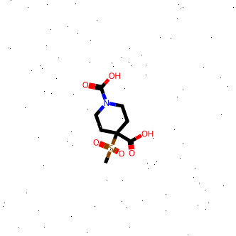 CS(=O)(=O)C1(C(=O)O)CCN(C(=O)O)CC1